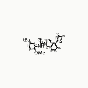 COc1ccc(C(C)(C)C)cc1NC(=O)N(Cc1cccc(-c2nccs2)c1)C(C)C